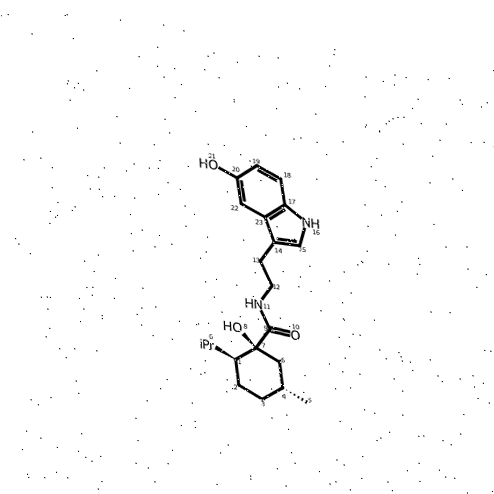 CC(C)[C@@H]1CC[C@@H](C)C[C@@]1(O)C(=O)NCCc1c[nH]c2ccc(O)cc12